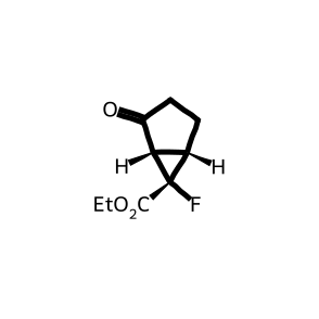 CCOC(=O)[C@@]1(F)[C@@H]2C(=O)CC[C@@H]21